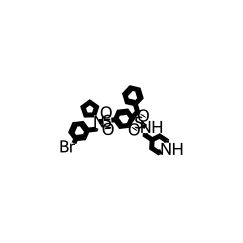 O=S(=O)(C1=CCC(Cc2ccccc2)(S(=O)(=O)NCC2CCNCC2)C=C1)N(Cc1cccc(Br)c1)C1CCCC1